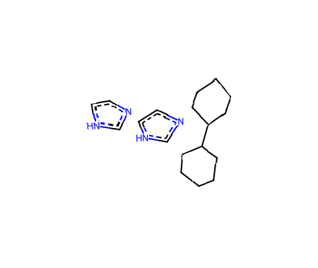 C1CCC(C2CCCCC2)CC1.c1c[nH]cn1.c1c[nH]cn1